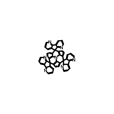 c1cnc2c(c1)-c1ncccc1C21c2cccc3c2N2c4c1cccc4C1(c4cccnc4-c4cccnc41)c1cccc(c12)C31c2cccnc2-c2cccnc21